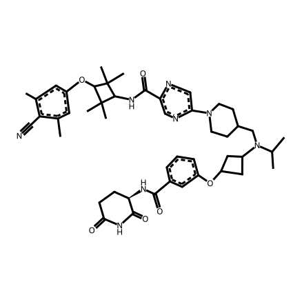 Cc1cc(OC2C(C)(C)C(NC(=O)c3cnc(N4CCC(CN(C(C)C)C5CC(Oc6cccc(C(=O)N[C@@H]7CCC(=O)NC7=O)c6)C5)CC4)cn3)C2(C)C)cc(C)c1C#N